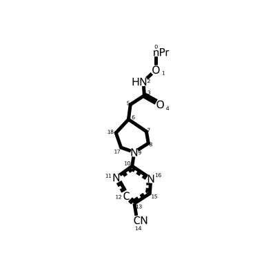 CCCONC(=O)CC1CCN(c2ncc(C#N)cn2)CC1